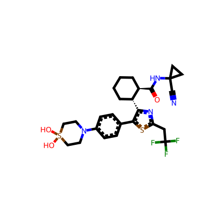 N#CC1(NC(=O)[C@@H]2CCCC[C@H]2c2nc(CC(F)(F)F)sc2-c2ccc(N3CCS(O)(O)CC3)cc2)CC1